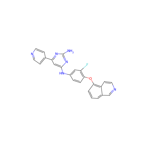 Nc1nc(Nc2ccc(Oc3cccc4cnccc34)c(F)c2)cc(-c2ccncc2)n1